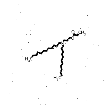 C=CC(=O)OCCCN(CCCCCCCCCCCC)CCCCCCCCCCCC